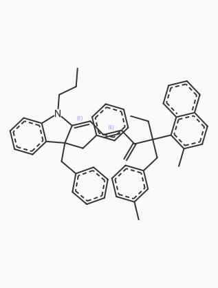 C=C(/C=C/C=C1/N(CCC)c2ccccc2C1(Cc1ccccc1)Cc1ccccc1)C(CC)(Cc1cccc(C)c1)c1c(C)ccc2ccccc12